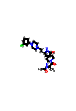 CC(=O)N[C@H](C)C(=O)N1CCC2(CC1)C[C@H](CCN1CCN(c3cccc(Cl)c3)CC1)NC2=O